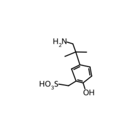 CC(C)(CN)c1ccc(O)c(CS(=O)(=O)O)c1